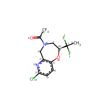 CC(F)(F)[C@@H]1CN(C(=O)C(F)(F)F)Cc2nc(Cl)ccc2O1